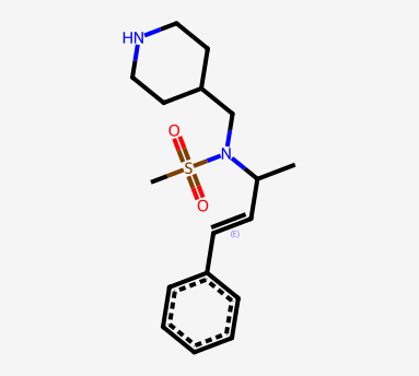 CC(/C=C/c1ccccc1)N(CC1CCNCC1)S(C)(=O)=O